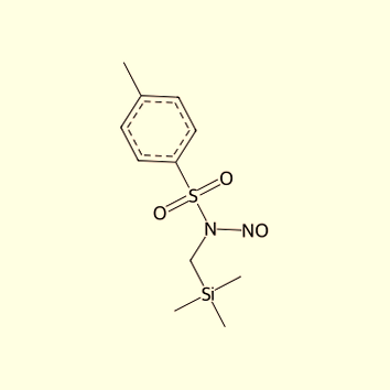 Cc1ccc(S(=O)(=O)N(C[Si](C)(C)C)N=O)cc1